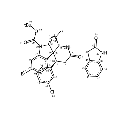 C=C(C)[C@H]1NC(=O)C[C@@H](c2cccc(Cl)c2)[C@]12C(=O)N(C(=O)OC(C)(C)C)c1cc(Br)ccc12.O=C1Cc2ccccc2N1